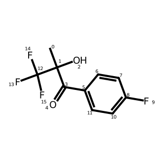 CC(O)(C(=O)c1ccc(F)cc1)C(F)(F)F